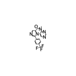 CN(C(=O)c1cncc(-c2ccc(C(F)(F)F)cc2)n1)c1ccncn1